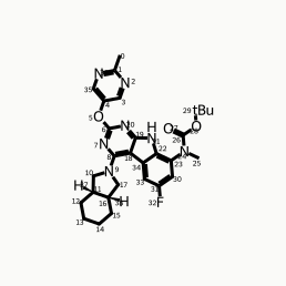 Cc1ncc(Oc2nc(N3C[C@H]4CCCC[C@H]4C3)c3c(n2)[nH]c2c(N(C)C(=O)OC(C)(C)C)cc(F)cc23)cn1